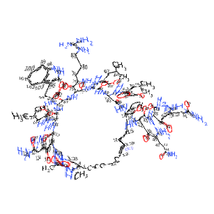 CC(=O)N[C@]1(C)CCCCCC/C=C/CCC[C@@](C)(C(=O)NC(C(=O)NC(C(N)=O)C(=O)[C@@H](N)CC(N)=O)C(=O)[C@@H](N)CCC(N)=O)NC(=O)C(N[C@H](C=O)CC(C)C)NC(=O)C(N[C@H](C=O)CC(C)C)NC(=O)C(C(=O)[C@@H](N)CCCNC(N)N)NC(=O)C(N[C@H](C=O)Cc2c[nH]c3ccccc23)NC(=O)C(N[C@H](C=O)CC(C)C)NC(=O)C(C(=O)[C@@H](N)CC(N)=O)NC1=O